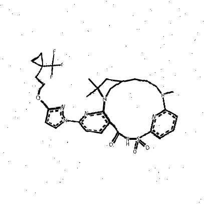 CN1CCCC2CN(c3nc(-n4ccc(OCCC5(C(F)(F)F)CC5)n4)ccc3C(=O)NS(=O)(=O)c3cccc1n3)C(C)(C)C2